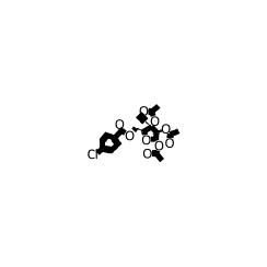 C#C[C@@]1(OC(C)=O)[C@@H](COC(=O)c2ccc(Cl)cc2)OC(OC(C)=O)[C@@H]1OC(C)=O